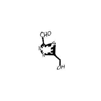 O=Cc1nnc(CO)s1